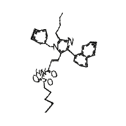 CCCCCS(=O)(=O)NC(=O)/C=C/c1c(-c2cccc3ccccc23)nc(CCCC)n1Cc1ccccc1